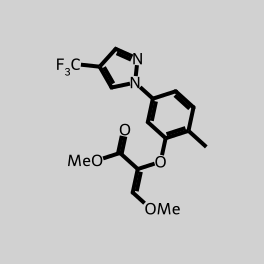 CO/C=C(\Oc1cc(-n2cc(C(F)(F)F)cn2)ccc1C)C(=O)OC